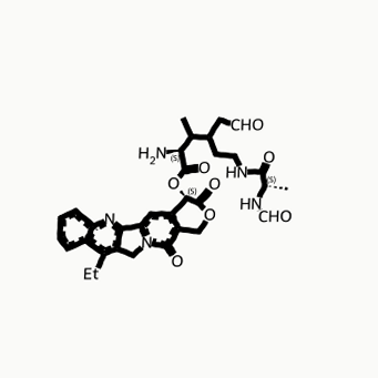 CCc1c2c(nc3ccccc13)-c1cc3c(c(=O)n1C2)COC(=O)[C@H]3OC(=O)[C@@H](N)C(C)C(CC=O)CCNC(=O)[C@H](C)NC=O